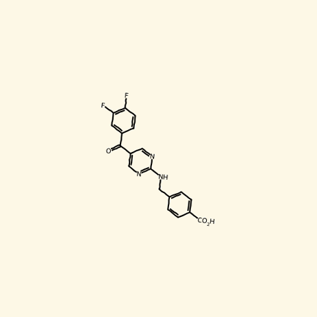 O=C(O)c1ccc(CNc2ncc(C(=O)c3ccc(F)c(F)c3)cn2)cc1